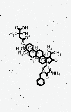 CC(C)C1=C2[C@H]3CC[C@@H]4[C@@]5(C)CC[C@H](OC(=O)CC(C)(C)C(=O)O)C(C)(C)[C@@H]5CC[C@@]4(C)[C@]3(C)CC[C@@]2(CCN(Cc2ccccc2)C(=O)C(N)=O)CC1=O